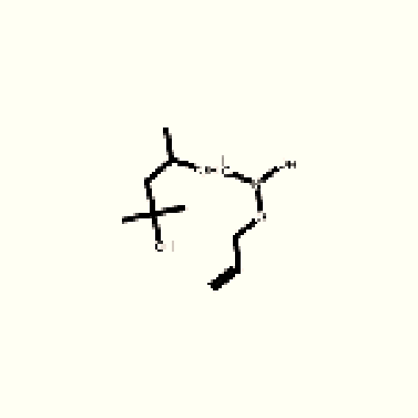 C=CCOB(O)O.CC(O)CC(C)(C)O